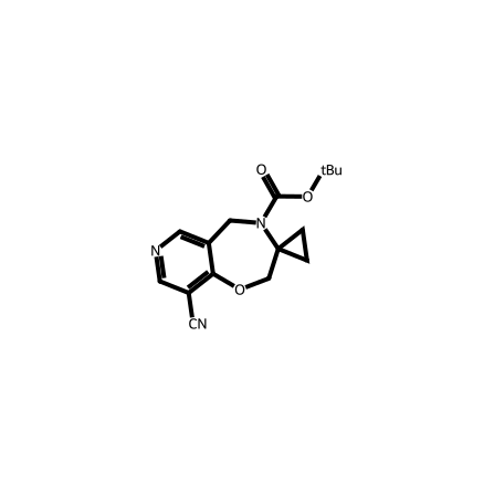 CC(C)(C)OC(=O)N1Cc2cncc(C#N)c2OCC12CC2